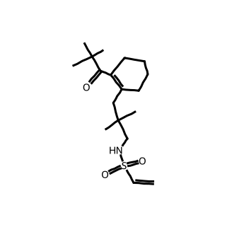 C=CS(=O)(=O)NCC(C)(C)CC1=C(C(=O)C(C)(C)C)CCCC1